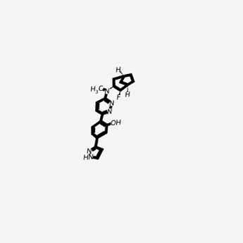 CN(c1ccc(-c2ccc(-c3cc[nH]n3)cc2O)nn1)[C@@H]1C[C@H]2CC[C@H](C2)[C@@H]1F